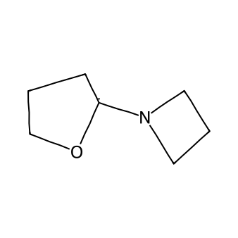 C1CO[C](N2CCC2)C1